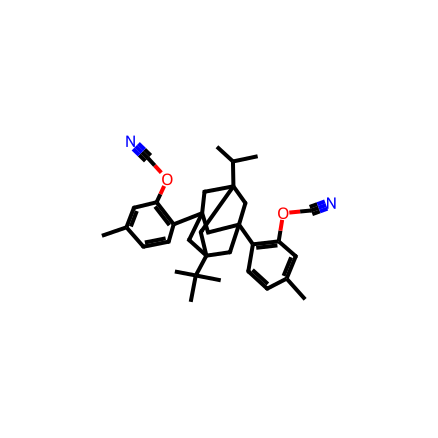 Cc1ccc(C23CC4(c5ccc(C)cc5OC#N)CC(C(C)C)(C2)CC(C(C)(C)C)(C3)C4)c(OC#N)c1